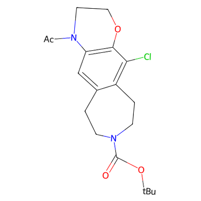 CC(=O)N1CCOc2c1cc1c(c2Cl)CCN(C(=O)OC(C)(C)C)CC1